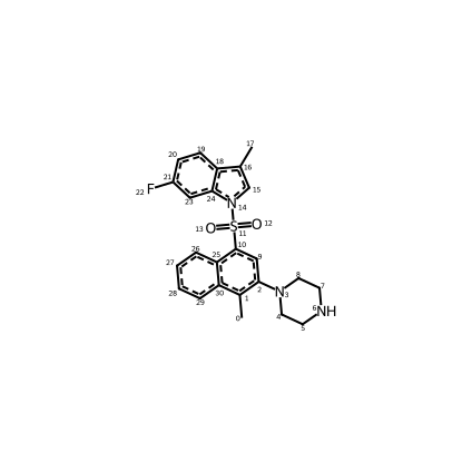 Cc1c(N2CCNCC2)cc(S(=O)(=O)n2cc(C)c3ccc(F)cc32)c2ccccc12